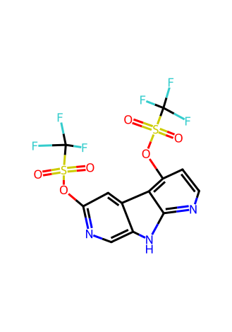 O=S(=O)(Oc1cc2c(cn1)[nH]c1nccc(OS(=O)(=O)C(F)(F)F)c12)C(F)(F)F